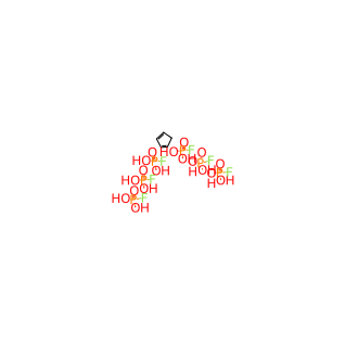 C1=CCC=C1.O=P(O)(O)F.O=P(O)(O)F.O=P(O)(O)F.O=P(O)(O)F.O=P(O)(O)F.O=P(O)(O)F